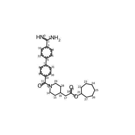 N=C(N)c1ccc(-c2ccc(C(=O)N3CCC(CC(=O)OC4CCCCCC4)CC3)cc2)cc1